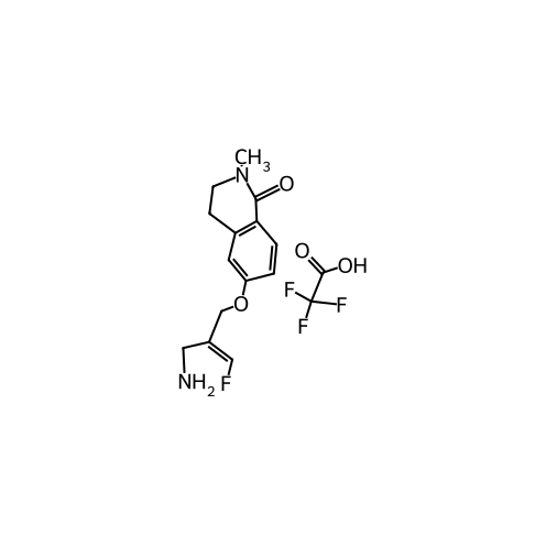 CN1CCc2cc(OCC(=CF)CN)ccc2C1=O.O=C(O)C(F)(F)F